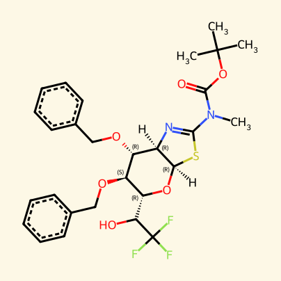 CN(C(=O)OC(C)(C)C)C1=N[C@@H]2[C@@H](OCc3ccccc3)[C@H](OCc3ccccc3)[C@@H](C(O)C(F)(F)F)O[C@@H]2S1